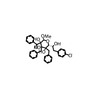 CO[C@H]1O[C@H](C(O)Cc2ccc(Cl)cc2)[C@](O)(Cc2ccccc2)[C@@](O)(Cc2ccccc2)[C@]1(O)C(=O)c1ccccc1